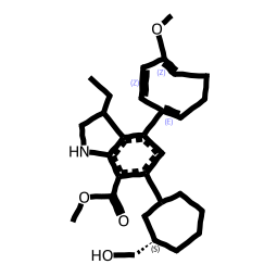 CCC1CNc2c(C(=O)OC)c(C3CCCC[C@H](CO)C3)cc(C3=C/CC/C=C(OC)/C=C\3)c21